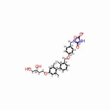 Cc1cc(OCC[C@@H](O)CO)cc(C)c1-c1cccc(COc2ccc(Cn3oc(=O)[nH]c3=O)cc2)c1C